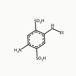 CCNc1cc(S(=O)(=O)O)c(N)cc1S(=O)(=O)O